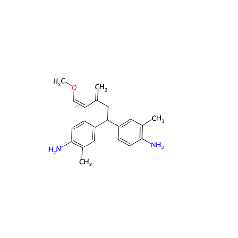 C=C(/C=C\OC)CC(c1ccc(N)c(C)c1)c1ccc(N)c(C)c1